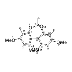 COc1nc(OC)c2c(op(C)oc3c(C)c(OC)nc(OC)c32)c1C